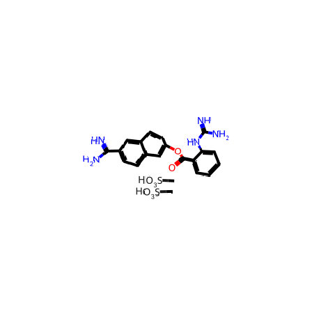 CS(=O)(=O)O.CS(=O)(=O)O.N=C(N)Nc1ccccc1C(=O)Oc1ccc2cc(C(=N)N)ccc2c1